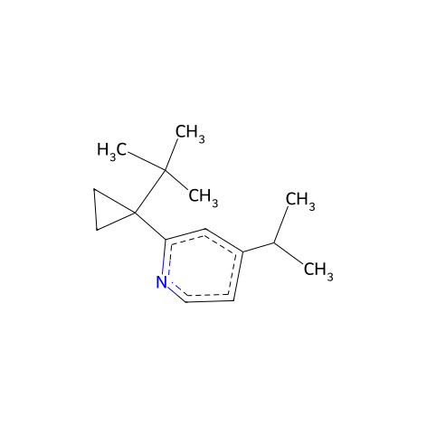 CC(C)c1ccnc(C2(C(C)(C)C)CC2)c1